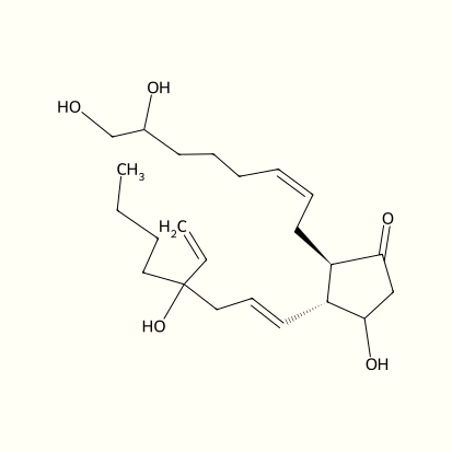 C=CC(O)(C/C=C/[C@H]1C(O)CC(=O)[C@@H]1C/C=C\CCCC(O)CO)CCCC